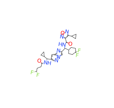 O=C(CCC(F)F)NC(c1cnn2cc([C@@H](NC(=O)c3nonc3C3CC3)C3CCC(F)(F)CC3)nc2c1)C1CC1